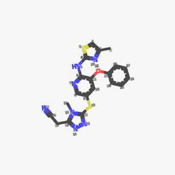 Cc1csc(Nc2ncc(Sc3nnc(CC#N)n3C)cc2Oc2ccccc2)n1